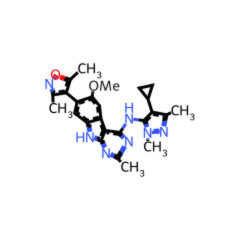 COc1cc2c(cc1-c1c(C)noc1C)[nH]c1nc(C)nc(Nc3c(C4CC4)c(C)nn3C)c12